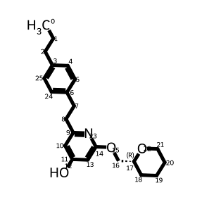 CCCc1ccc(CCc2cc(O)cc(OC[C@H]3CCCCO3)n2)cc1